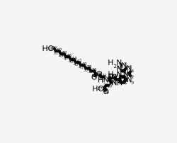 CN(Cc1cnc2nc(N)nc(N)c2n1)c1ccc(C(=O)N[C@@H](CCC(=O)O)C(=O)NCCOC(=O)CCCCCCCCCCCCCCCCCO)cc1